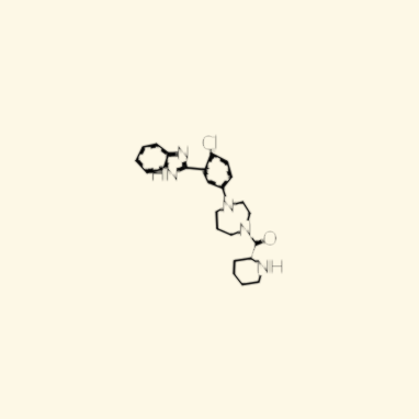 O=C([C@@H]1CCCCN1)N1CCCN(c2ccc(Cl)c(-c3nc4ccccc4[nH]3)c2)CC1